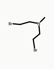 CN(CCBr)CCBr